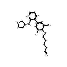 O=CCCCCOc1c(F)cc(-c2cccnc2OC2CCOC2)cc1F